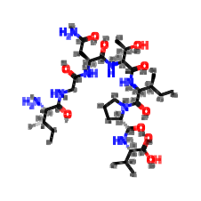 CC[C@H](C)[C@H](N)C(=O)NCC(=O)N[C@@H](CC(N)=O)C(=O)N[C@H](C(=O)N[C@H](C(=O)N1CCC[C@H]1C(=O)N[C@H](C(=O)O)C(C)C)[C@@H](C)CC)[C@@H](C)O